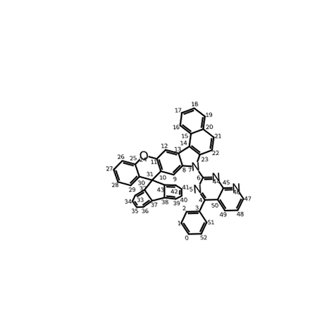 c1ccc(-c2nc(-n3c4cc5c(cc4c4c6ccccc6ccc43)Oc3ccccc3C53c4ccccc4-c4ccccc43)nc3ncccc23)cc1